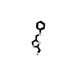 S=CC1OC(COc2ccccc2)CS1